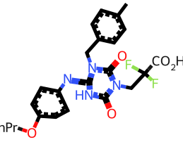 CCCOc1ccc(/N=c2\[nH]c(=O)n(CC(F)(F)C(=O)O)c(=O)n2Cc2ccc(C)cc2)cc1